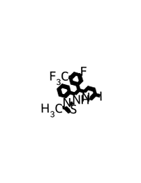 Cc1csc(NC(c2ccccc2)C(c2cc(F)cc(C(F)(F)F)c2)c2ccc(I)cn2)n1